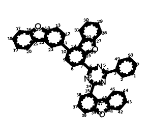 c1ccc(-c2nc(-c3ccc(-c4ccc5oc6ccccc6c5c4)c4c3oc3ccccc34)nc(-c3cccc4oc5ccccc5c34)n2)cc1